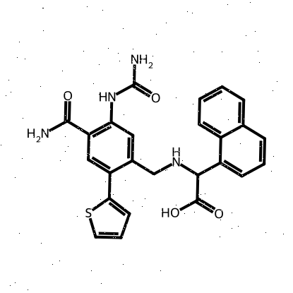 NC(=O)Nc1cc(CNC(C(=O)O)c2cccc3ccccc23)c(-c2cccs2)cc1C(N)=O